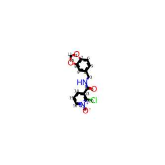 O=C(NCc1ccc2c(c1)OCO2)c1ccc[n+]([O-])c1Cl